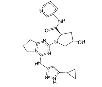 O=C(Nc1cccnc1)[C@H]1C[C@H](O)CN1c1nc2c(c(Nc3cc(C4CC4)[nH]n3)n1)CCC2